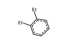 CCc1[c]cccc1CC